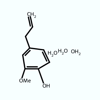 C=CCc1ccc(O)c(OC)c1.O.O.O